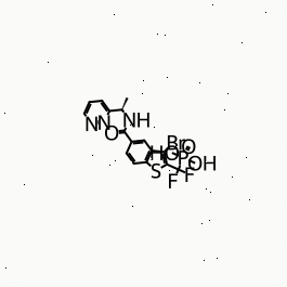 C[C@@H](NC(=O)c1ccc2sc(C(F)(F)P(=O)(O)O)c(Br)c2c1)c1cccnn1